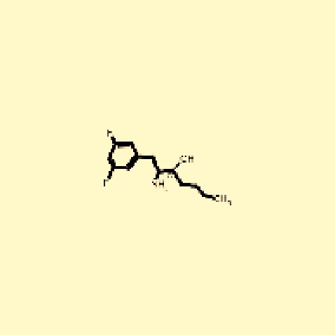 CCCC[C@H](O)C(N)Cc1cc(F)cc(F)c1